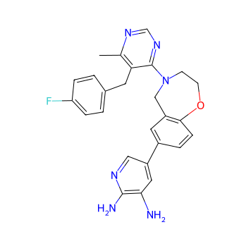 Cc1ncnc(N2CCOc3ccc(-c4cnc(N)c(N)c4)cc3C2)c1Cc1ccc(F)cc1